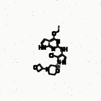 CCOc1nc(Nc2cnn([C@H]3CN(C4COC4)CCO3)c2Cl)nc2[nH]ccc12